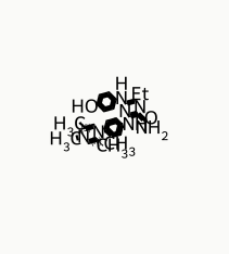 CCc1nc(C(N)=O)c(Nc2ccc(N3C[C@H](C)N(C)C[C@H]3C)c(C)c2)nc1N[C@H]1CC[C@H](O)CC1